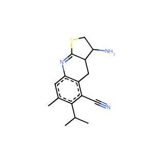 Cc1cc2c(c(C#N)c1C(C)C)CC1C(=N2)SCC1N